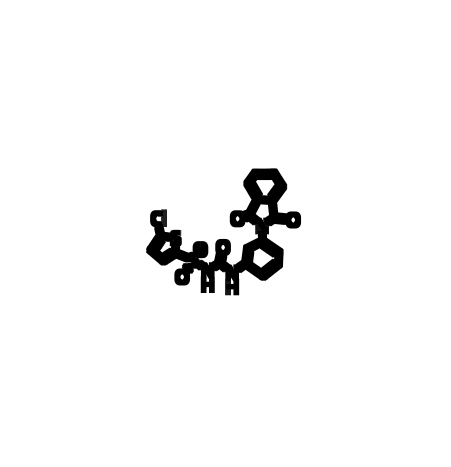 O=C(Nc1cccc(N2C(=O)c3ccccc3C2=O)c1)NS(=O)(=O)c1ccc(Cl)s1